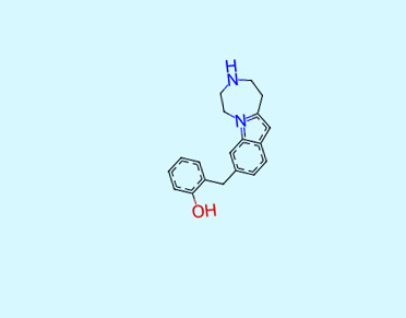 Oc1ccccc1Cc1ccc2cc3n(c2c1)CCNCC3